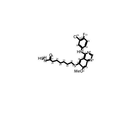 COc1cc2ncnc(Nc3ccc(F)c(Cl)c3)c2cc1SCCCCCCC(=O)NO